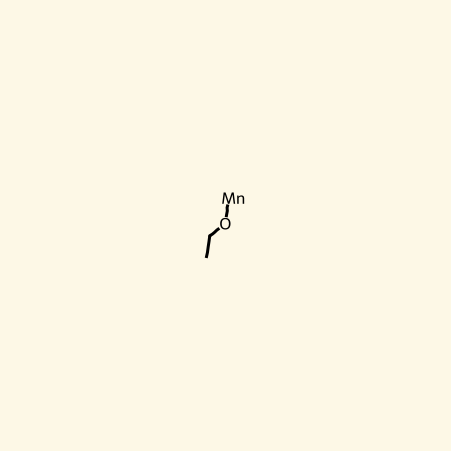 CC[O][Mn]